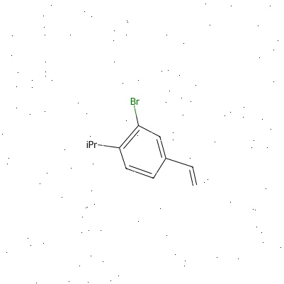 C=Cc1ccc(C(C)C)c(Br)c1